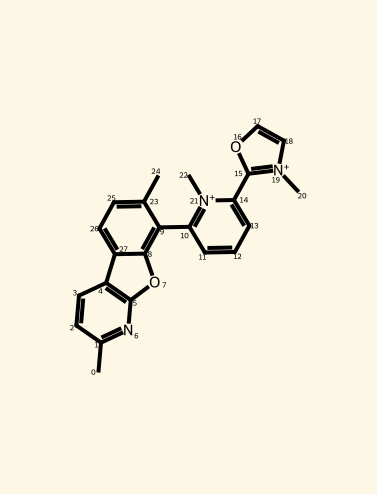 Cc1ccc2c(n1)oc1c(-c3cccc(-c4occ[n+]4C)[n+]3C)c(C)ccc12